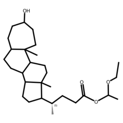 CCOC(C)OC(=O)CC[C@H](C)C1CCC2C3CCC4CCC(O)CCC4(C)C3CCC21C